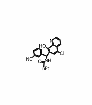 CCCC(=O)NC(c1cccc(C#N)c1)c1cc(Cl)c2cccnc2c1O